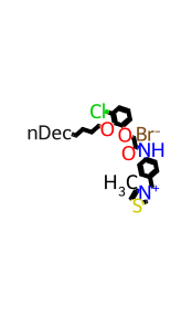 CCCCCCCCCCCCCCOc1c(Cl)cccc1OCC(=O)Nc1ccc(C[n+]2cscc2C)cc1.[Br-]